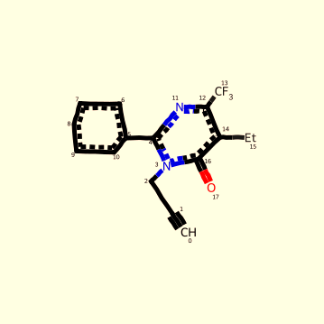 C#CCn1c(-c2ccccc2)nc(C(F)(F)F)c(CC)c1=O